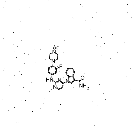 CC(=O)N1CCN(c2ccc(Nc3nccc(-n4cc(C(N)=O)c5ccccc54)n3)cc2F)CC1